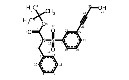 CC(C)(C)OC(=O)N(Cc1ccccc1)S(=O)(=O)c1cccc(C#CCO)c1